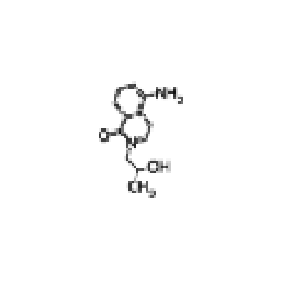 CC(O)Cn1ccc2c(N)cccc2c1=O